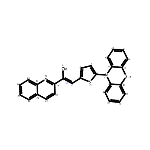 N#C/C(=C\c1ccc(N2c3ccccc3Sc3ccccc32)s1)c1ccc2ccccc2n1